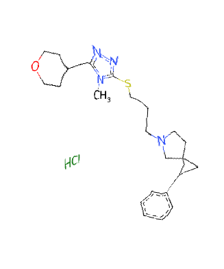 Cl.Cn1c(SCCCN2CCC3(CC3c3ccccc3)C2)nnc1C1CCOCC1